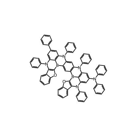 c1ccc(-c2cc3c4c(c2)N(c2ccccc2)c2c(oc5ccccc25)B4c2cc4c(cc2N3c2ccccc2)N(c2ccccc2)c2cc(N(c3ccccc3)c3ccccc3)cc3c2B4c2oc4ccccc4c2N3c2ccccc2)cc1